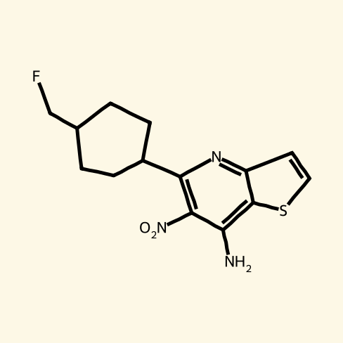 Nc1c([N+](=O)[O-])c(C2CCC(CF)CC2)nc2ccsc12